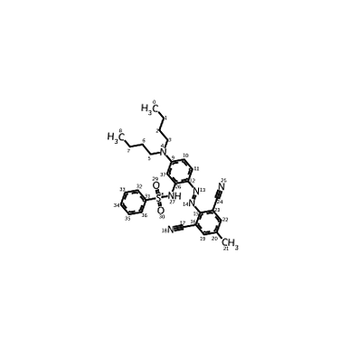 CCCCN(CCCC)c1ccc(/N=N/c2c(C#N)cc(C)cc2C#N)c(NS(=O)(=O)c2ccccc2)c1